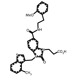 COc1ccccc1CCNC(=O)c1ccc2c(c1)n(CCC(=O)O)c(=O)n2Cc1csc2cccc(C)c12